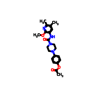 COc1nc(C)c(C)cc1NC(=O)N1CCN(c2ccc(OC(C)=O)cc2)CC1